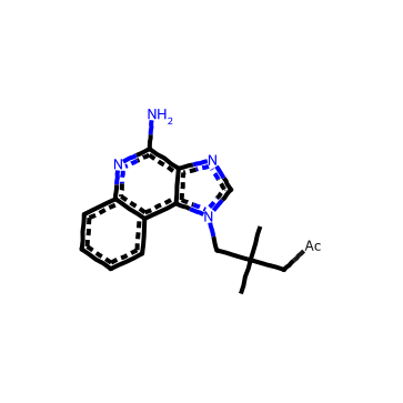 CC(=O)CC(C)(C)Cn1cnc2c(N)nc3ccccc3c21